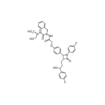 O=C(COc1ccc(C2C(CCC(O)c3ccc(F)cc3)C(=O)N2c2ccc(F)cc2)cc1)N[C@H](Cc1ccccc1)C(=O)N[C@@H](CO)C(=O)O